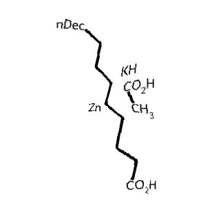 CC(=O)O.CCCCCCCCCCCCCCCCCC(=O)O.[KH].[Zn]